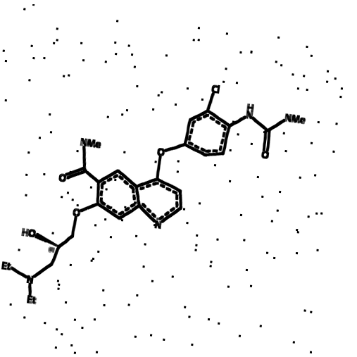 CCN(CC)C[C@@H](O)COc1cc2nccc(Oc3ccc(NC(=O)NC)c(Cl)c3)c2cc1C(=O)NC